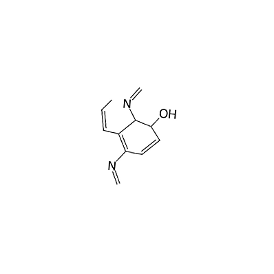 C=NC1=C(/C=C\C)C(N=C)C(O)C=C1